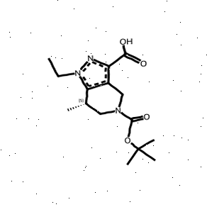 CCn1nc(C(=O)O)c2c1[C@@H](C)CN(C(=O)OC(C)(C)C)C2